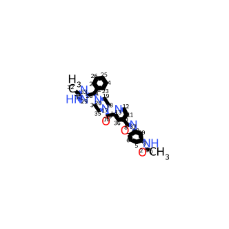 CC(=O)Nc1ccc2oc(-c3ccnc(C(=O)N4CCN(C(c5ccccc5)c5n[nH]c(C)n5)CC4)c3)nc2c1